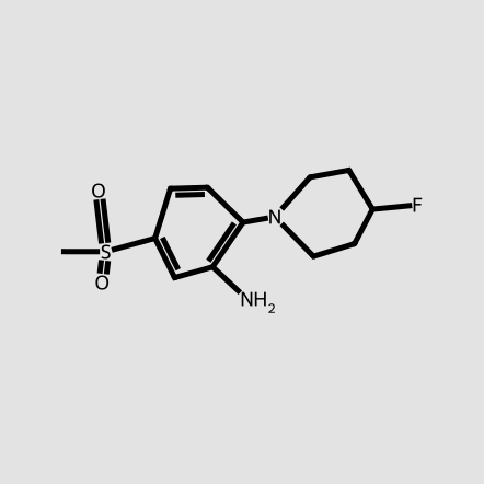 CS(=O)(=O)c1ccc(N2CCC(F)CC2)c(N)c1